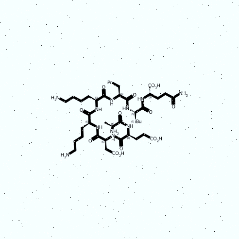 CC[C@H](C)[C@H](NC(=O)[C@H](CC(C)C)NC(=O)[C@H](CCCCN)NC(=O)[C@H](CCCCN)NC(=O)[C@H](CC(=O)O)NC(=O)[C@H](CCC(=O)O)NC(=O)[C@H](C)N)C(=O)N[C@@H](CCC(N)=O)C(=O)O